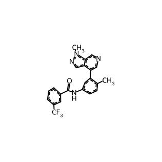 Cc1ccc(NC(=O)c2cccc(C(F)(F)F)c2)cc1-c1cncc2c1cnn2C